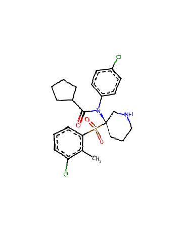 Cc1c(Cl)cccc1S(=O)(=O)[C@@]1(N(C(=O)C2CCCC2)c2ccc(Cl)cc2)CCCNC1